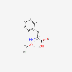 O=C(O)[C@H](Cc1ccccc1)NOCF